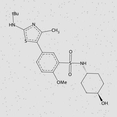 COc1ccc(-c2sc(NC(C)(C)C)nc2C)cc1S(=O)(=O)N[C@H]1CC[C@H](O)CC1